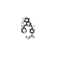 NC(=O)c1ccc(Nc2cc3cc[nH]c(=O)c3c(NN3CCOCC3)n2)nc1